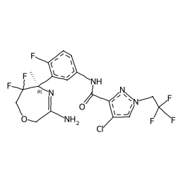 C[C@]1(c2cc(NC(=O)c3nn(CC(F)(F)F)cc3Cl)ccc2F)N=C(N)COCC1(F)F